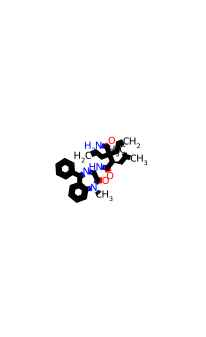 C=CCC(CC=C)(C(N)=O)[C@@H](CC(C)C)C(=O)N[C@H]1N=C(c2ccccc2)c2ccccc2N(C)C1=O